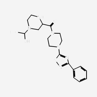 CC(C)N1CCNC(C(=O)N2CCN(c3nc(-c4ccccc4)ns3)CC2)C1